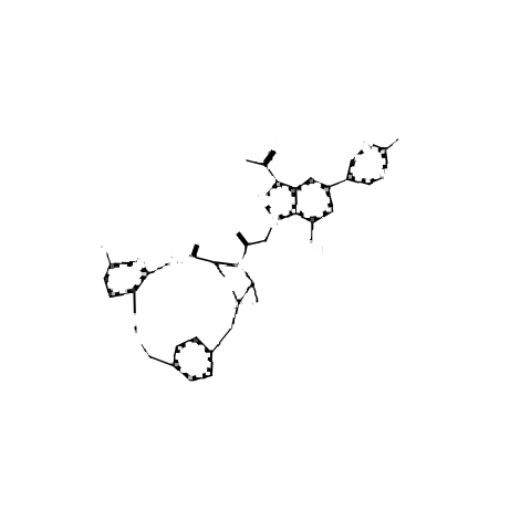 CC(=O)c1nn(CC(=O)N2C3C[C@@]4(Cc5ccc(cc5)COCc5ccc(Br)nc5NC3=O)CC24)c2c(C)cc(-c3cnc(C)nc3)cc12